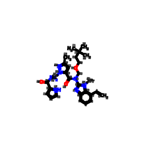 C=Cc1cccc2nc(N(COCC[Si](C)(C)C)C(=O)c3cc(C)nn3CC)n(CCC)c12.NC(=O)c1ccc[nH]1